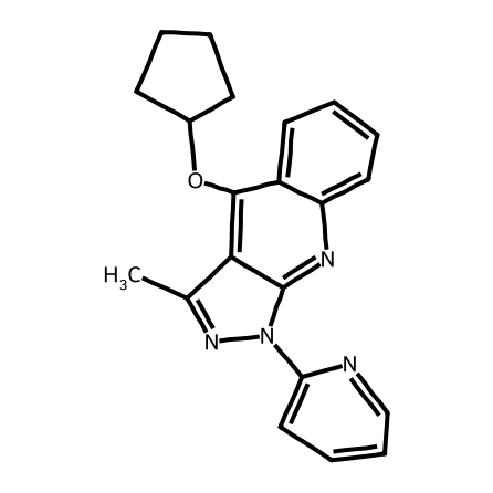 Cc1nn(-c2ccccn2)c2nc3ccccc3c(OC3CCCC3)c12